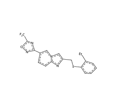 CCc1ccccc1SCc1cn2cc(-c3noc(C(F)(F)F)n3)ccc2n1